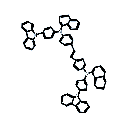 C(=C\c1ccc(N(c2ccc(-n3c4ccccc4c4ccccc43)cc2)c2cccc3ccccc23)cc1)/c1ccc(N(c2ccc(-n3c4ccccc4c4ccccc43)cc2)c2cccc3ccccc23)cc1